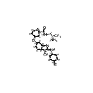 C[C@@H](N)CNC(=O)c1cc(Oc2ccc3c(c2)nc(Nc2ccc(Br)cc2)n3C)ccn1